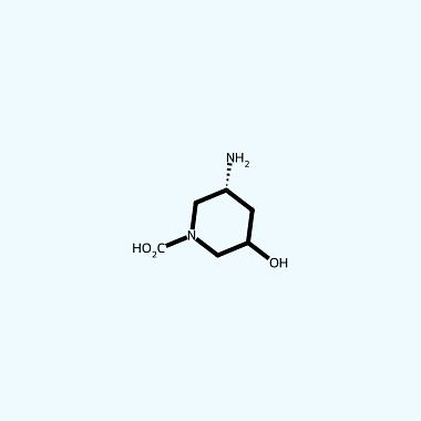 N[C@@H]1CC(O)CN(C(=O)O)C1